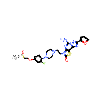 C[S@+]([O-])CCOc1ccc(N2CCN(CCn3c(=O)sc4c3nc(N)n3nc(-c5ccco5)nc43)CC2)c(F)c1